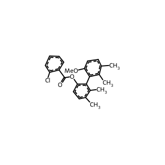 COc1ccc(C)c(C)c1-c1c(OC(=O)c2ccccc2Cl)ccc(C)c1C